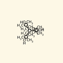 Cc1cc(C(C)(C)c2cc(C(C)(C)c3cc(C)c(O)c(C)c3)cc(C(C)(C)c3cc(C)c(O)c(C)c3)c2)cc(C)c1O